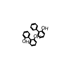 Oc1ccccc1-c1ccccc1.Oc1ccccc1-c1ccccc1O